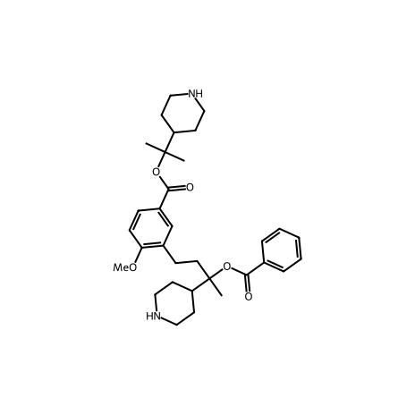 COc1ccc(C(=O)OC(C)(C)C2CCNCC2)cc1CCC(C)(OC(=O)c1ccccc1)C1CCNCC1